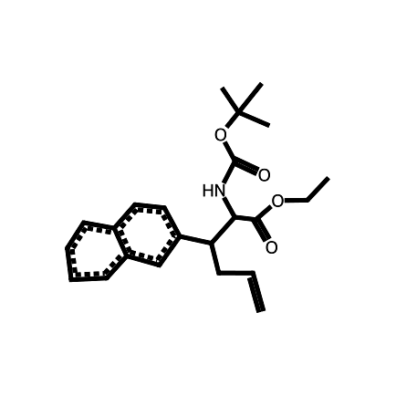 C=CCC(c1ccc2ccccc2c1)C(NC(=O)OC(C)(C)C)C(=O)OCC